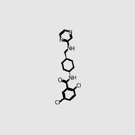 O=C(N[C@H]1CC[C@H](CNc2cnccn2)CC1)c1cc(Cl)ccc1Cl